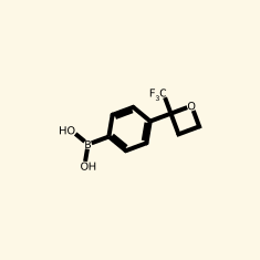 OB(O)c1ccc(C2(C(F)(F)F)CCO2)cc1